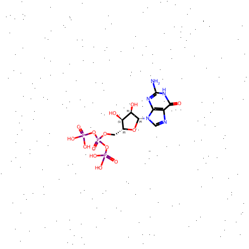 Nc1nc2c(ncn2[C@@H]2O[C@H](COP(=O)(OP(=O)(O)O)OP(=O)(O)O)[C@@H](O)[C@H]2O)c(=O)[nH]1